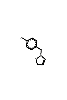 Clc1ccc(CN2C=CCS2)cc1